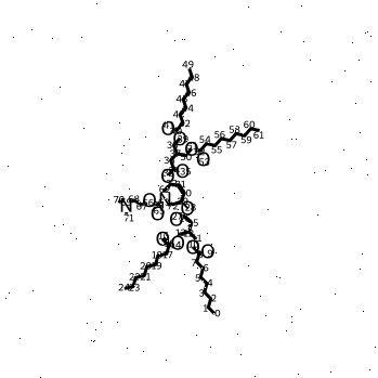 CCCCCCCCC(=O)OCC(COC(=O)CCCCCCCC)CC(=O)O[C@@H]1C=C[C@H](OC(=O)CC(COC(=O)CCCCCCCC)COC(=O)CCCCCCCC)CN(C(=O)OCCN(C)C)C1